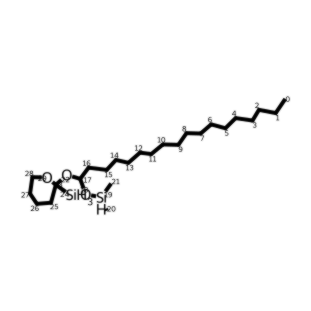 CCCCCCCCCCCCCCCCCC(O[SiH](C)C)OC1([SiH3])CCCCO1